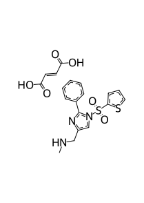 CNCc1cn(S(=O)(=O)c2cccs2)c(-c2ccccc2)n1.O=C(O)/C=C/C(=O)O